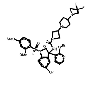 CCOc1ncccc1C1(NC(=O)N2CC(N3CCC(N4CC(F)(F)C4)CC3)C2)C(=O)N(S(=O)(=O)c2ccc(OC)cc2OC)c2ccc(C#N)cc21